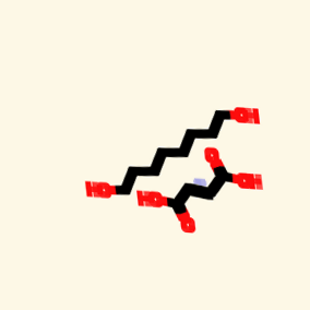 O=C(O)/C=C/C(=O)O.OCCCCCCCCO